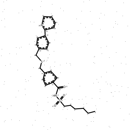 CCCCCCS(=O)(=O)NC(=O)c1ccc(CSCc2ccc(-c3ccccn3)cc2)cc1